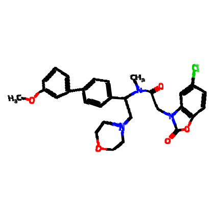 COc1cccc(-c2ccc(C(CN3CCOCC3)N(C)C(=O)Cn3c(=O)oc4ccc(Cl)cc43)cc2)c1